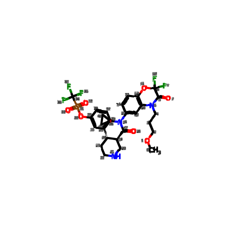 COCCCN1C(=O)C(F)(F)Oc2ccc(N(C(=O)[C@H]3CNCC[C@@H]3c3cccc(OS(=O)(=O)C(F)(F)F)c3)C3CC3)cc21